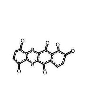 O=c1ccc2c(=O)c3nc4c(=O)ccc(=O)c4nc3c(=O)c2c1=O